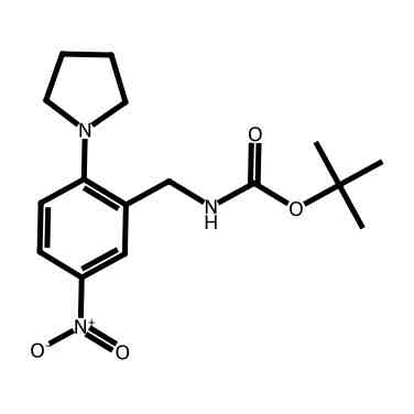 CC(C)(C)OC(=O)NCc1cc([N+](=O)[O-])ccc1N1CCCC1